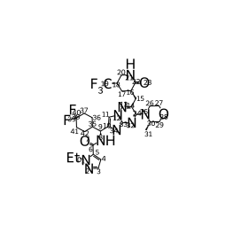 CCn1nccc1C(=O)N[C@H](c1cn2nc(C[C@H]3C[C@@H](C(F)(F)F)CNC3=O)c(N3CCOC[C@H]3C)nc2n1)C1CCC(F)(F)CC1